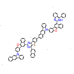 c1ccc(C2=c3ccccc3=NC(c3cc4c5cc(-n6c7ccccc7c7cc8cc(-c9ccc%10c(c9)sc9c(-c%11ccc%12ccccc%12c%11)nc(-c%11cc%12c%13cc(-n%14c%15ccccc%15c%15cc%16ccccc%16cc%15%14)ccc%13oc%12c%12ccccc%11%12)nc9%10)ccc8cc76)ccc5oc4c4ccccc34)N2)cc1